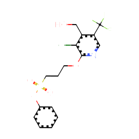 O=S(=O)(CCCOc1ncc(C(F)(F)F)c(CO)c1Cl)Oc1ccccc1